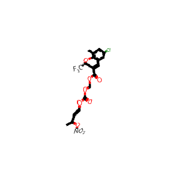 Cc1cc(Cl)cc2c1O[C@H](C(F)(F)F)C(C(=O)OCOC(=O)OCCC(C)O[N+](=O)[O-])=C2